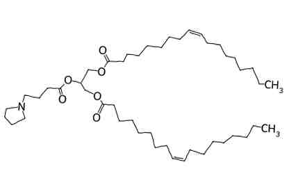 CCCCCCCC/C=C\CCCCCCCC(=O)OCC(COC(=O)CCCCCCC/C=C\CCCCCCCC)OC(=O)CCCN1CCCC1